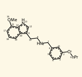 CCCOc1cccc(CNCCc2c[nH]c3c(OC)cccc23)c1